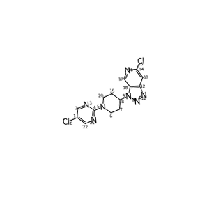 Clc1cnc(N2CCC(n3nnc4cc(Cl)ncc43)CC2)nc1